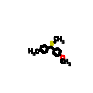 CCSC(c1ccc(C)cc1)c1ccc(OC)cc1